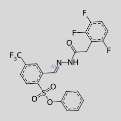 O=C(Cc1c(F)ccc(F)c1F)N/N=C/c1cc(C(F)(F)F)ccc1S(=O)(=O)Oc1ccccc1